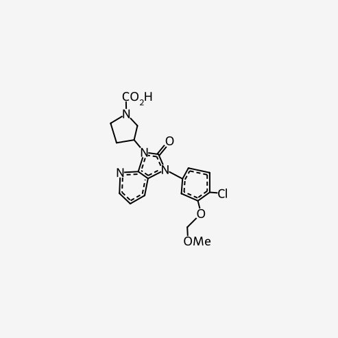 COCOc1cc(-n2c(=O)n(C3CCN(C(=O)O)C3)c3ncccc32)ccc1Cl